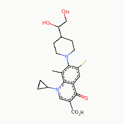 Cc1c(N2CCC(C(O)CO)CC2)c(F)cc2c(=O)c(C(=O)O)cn(C3CC3)c12